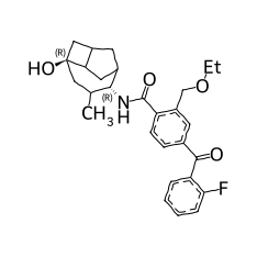 CCOCc1cc(C(=O)c2ccccc2F)ccc1C(=O)N[C@@H]1C(C)C[C@]2(O)CC3CC1CC32